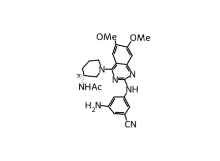 COc1cc2nc(Nc3cc(N)cc(C#N)c3)nc(N3CCC[C@@H](NC(C)=O)C3)c2cc1OC